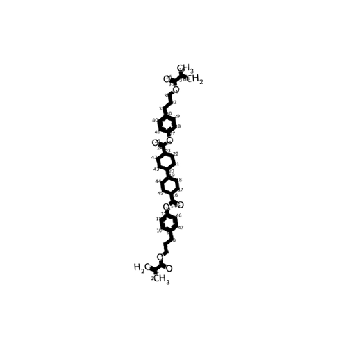 C=C(C)C(=O)OCCCc1ccc(OC(=O)C2CCC(C3CCC(C(=O)Oc4ccc(CCCOC(=O)C(=C)C)cc4)CC3)CC2)cc1